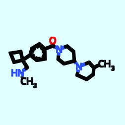 CNCC1(c2ccc(C(=O)N3CCC(N4CCCC(C)C4)CC3)cc2)CCC1